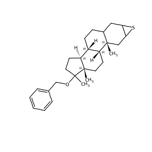 CC1(OCc2ccccc2)CC[C@H]2[C@@H]3CCC4CC5SC5C[C@]4(C)[C@@H]3CC[C@@]21C